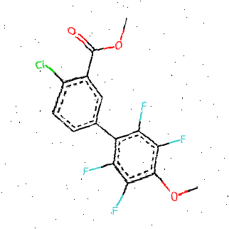 COC(=O)c1cc(-c2c(F)c(F)c(OC)c(F)c2F)ccc1Cl